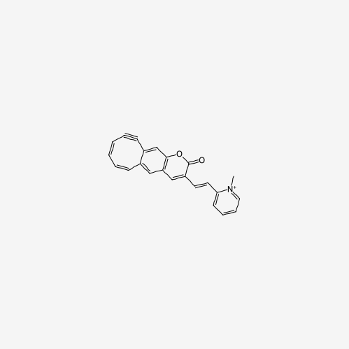 C[n+]1ccccc1/C=C/c1cc2cc3c(cc2oc1=O)C#C/C=C\C=C/3